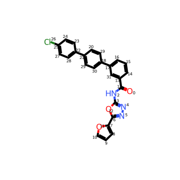 O=C(Nc1nnc(-c2ccco2)o1)c1cccc(-c2ccc(-c3ccc(Cl)cc3)cc2)c1